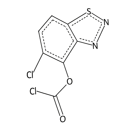 O=C(Cl)Oc1c(Cl)ccc2snnc12